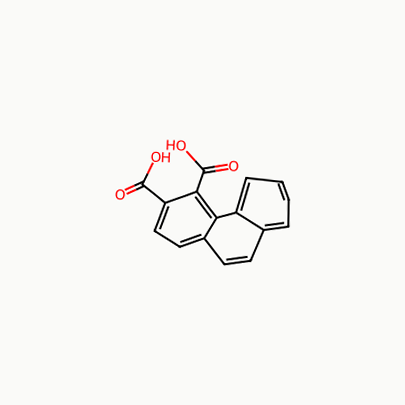 O=C(O)c1ccc2ccc3ccccc3c2c1C(=O)O